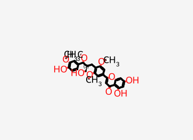 COc1cc(C(OC)[C@H](CO)Cc2c(OC)cc(-c3cc(=O)c4c(O)cc(O)cc4o3)cc2OC)ccc1O